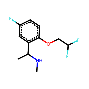 CNC(C)c1cc(F)ccc1OCC(F)F